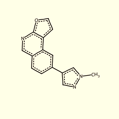 Cn1cc(-c2ccc3cnc4occc4c3c2)cn1